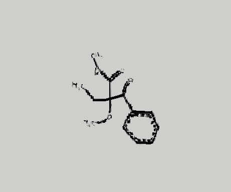 CCC(OC)(C(=O)OC)C(=O)c1ccccc1